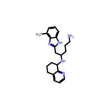 Cc1cccc2[nH]c(CC(CCCN)NC3CCCc4cccnc43)nc12